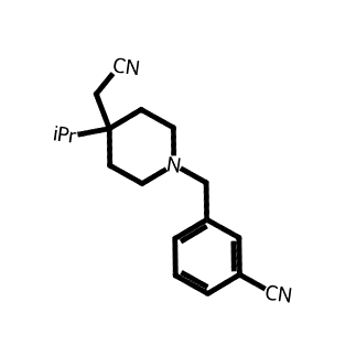 CC(C)C1(CC#N)CCN(Cc2cccc(C#N)c2)CC1